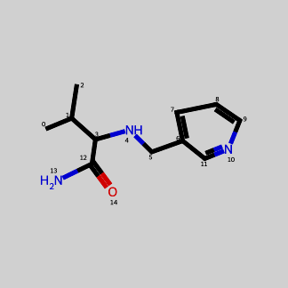 CC(C)C(NCc1cccnc1)C(N)=O